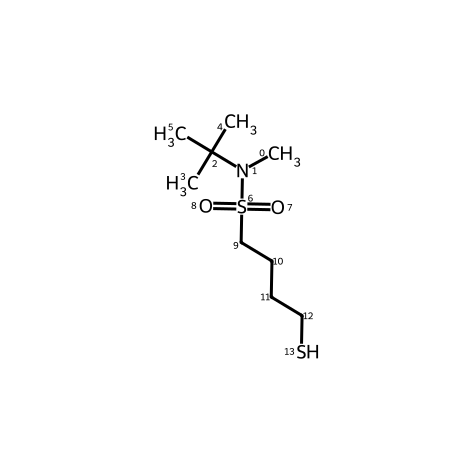 CN(C(C)(C)C)S(=O)(=O)CCCCS